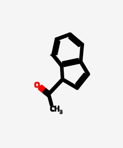 CC(=O)C1C=Cc2ccc[c]c21